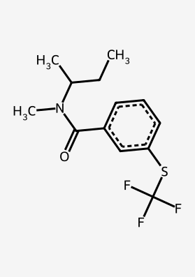 CCC(C)N(C)C(=O)c1cccc(SC(F)(F)F)c1